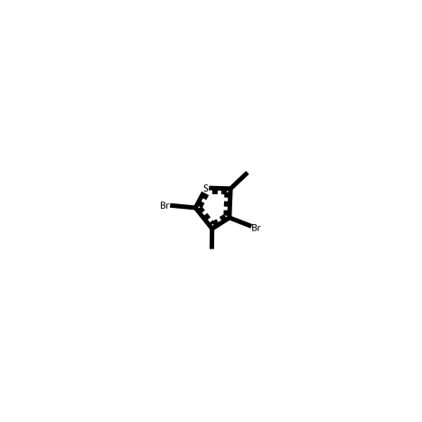 Cc1sc(Br)c(C)c1Br